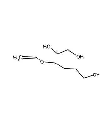 C=COCCCCO.OCCO